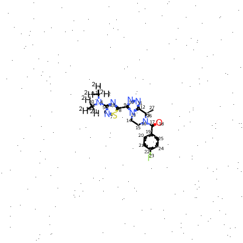 [2H]C([2H])([2H])N(c1nsc(-c2nnc3n2CCN(C(=O)c2ccc(F)cc2)[C@@H]3C)n1)C([2H])([2H])[2H]